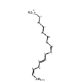 CCCCC/C=C\C/C=C/C/C=C\CCCCCCC(=O)O